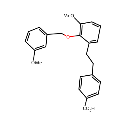 COc1cccc(COc2c(CCc3ccc(C(=O)O)cc3)cccc2OC)c1